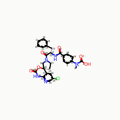 CN(C(=O)O)c1ccc(C(=O)N[C@@H](Cc2ccccc2)C(=O)N2CC[C@@]3(C2)OC(=O)Nc2ncc(Cl)cc23)cc1